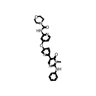 Cn1c(Nc2ccccc2)ncc(-c2ccc(Oc3ccnc(NC(=O)N4CCOCC4)c3)cn2)c1=O